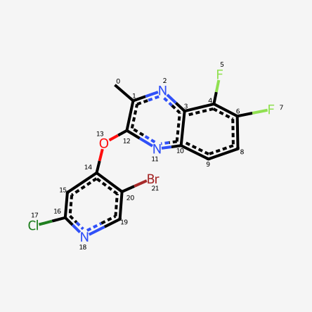 Cc1nc2c(F)c(F)ccc2nc1Oc1cc(Cl)ncc1Br